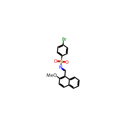 COc1ccc2ccccc2c1/C=N/S(=O)(=O)c1ccc(Br)cc1